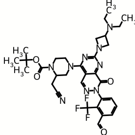 CCN(CC)C1CN(c2nc(N3CCN(C(=O)OC(C)(C)C)C(CC#N)C3)c3cnn(-c4cccc(C=O)c4C(F)(F)F)c(=O)c3n2)C1